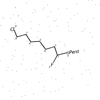 [CH2]CCCCC(F)CCCCCCCl